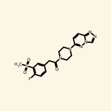 CS(=O)(=O)c1cc(CC(=O)N2CCN(c3ccc4nncn4n3)CC2)ccc1F